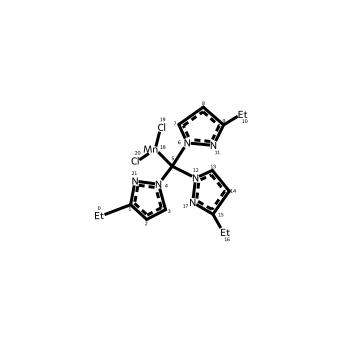 CCc1ccn([C](n2ccc(CC)n2)(n2ccc(CC)n2)[Mn]([Cl])[Cl])n1